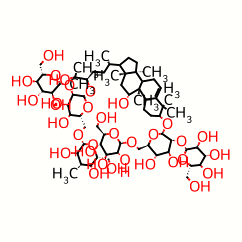 C[C@@H]1[C@@H](O)[C@H](OC[C@H]2O[C@@H](O[C@H](CC[C@@H](C)C3CC[C@@]4(C)C5CC=C6C(CC[C@H](O[C@@H]7O[C@H](CO[C@@H]8O[C@H](CO)[C@@H](O)[C@H](O)[C@H]8O)[C@@H](O)[C@H](O)[C@H]7O[C@H]7O[C@@H](CO)[C@H](O)[C@@H](O)[C@@H]7O)C6(C)C)[C@]5(C)[C@H](O)C[C@]34C)C(C)(C)O)[C@H](O[C@H]3O[C@@H](CO)[C@H](O)[C@@H](O)[C@@H]3O)[C@@H](O)[C@@H]2O)O[C@H](CO)[C@H]1O